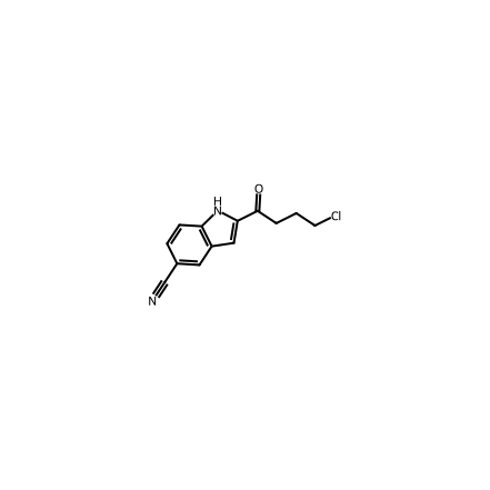 N#Cc1ccc2[nH]c(C(=O)CCCCl)cc2c1